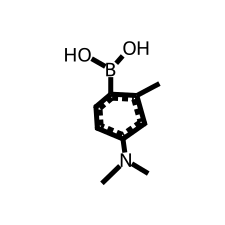 Cc1cc(N(C)C)ccc1B(O)O